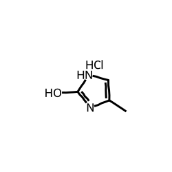 Cc1c[nH]c(O)n1.Cl